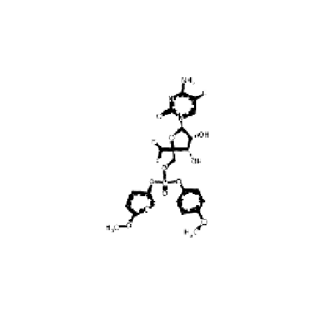 COc1ccc(OP(=O)(OC[C@@]2(C(F)F)O[C@@H](n3cc(F)c(N)nc3=O)[C@H](O)[C@@H]2O)Oc2ccc(OC)cc2)cc1